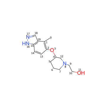 Cc1c(OC2CCCN(CCO)C2)ccc2[nH]ncc12